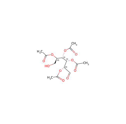 CC(=O)O[C@H]([C@H](OC(C)=O)[C@H](C=O)OC(C)=O)[C@@H](CO)OC(C)=O